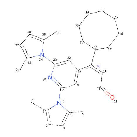 Cc1ccc(C)n1-c1cc(/C(=C\C=O)C2CCCCCCC2)cc(-n2c(C)ccc2C)n1